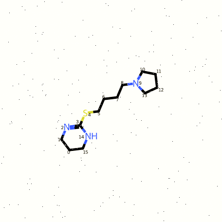 C1CN=C(SCCCCN2CCCC2)NC1